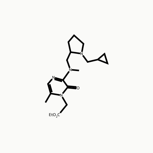 CCOC(=O)Cn1c(C)cnc(N(C)CC2CCCN2CC2CC2)c1=O